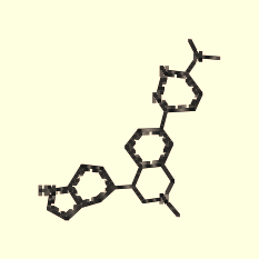 CN1Cc2cc(-c3ccc(N(C)C)nn3)ccc2C(c2ccc3[nH]ccc3c2)C1